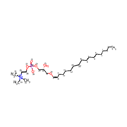 CCCCCCCCCCCCCCCC/C=C\OC[C@@H](O)COP(=O)([O-])OCC[N+](C)(C)C